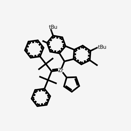 Cc1cc2c(cc1C(C)(C)C)-c1cc(C(C)(C)C)c(C)cc1[CH]2[Zr](=[C](C(C)(C)c1ccccc1)C(C)(C)c1ccccc1)[CH]1C=CC=C1